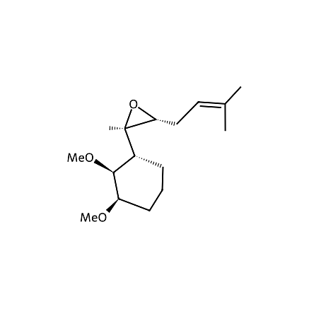 CO[C@H]1[C@H]([C@@]2(C)O[C@@H]2CC=C(C)C)CCC[C@H]1OC